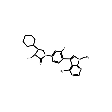 CN1C(=O)N(c2ccc(-c3cn(C)c4ncnc(N)c34)c(F)c2)CC1C1CCCCC1